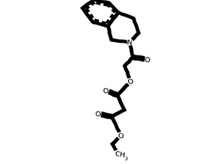 CCOC(=O)CC(=O)OCC(=O)N1CCc2ccccc2C1